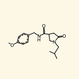 COc1ccc(CNC(=O)C2CC(=O)N(CC(C)C)C2)cc1